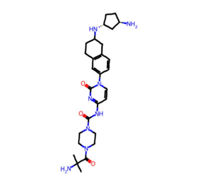 CC(C)(N)C(=O)N1CCN(C(=O)Nc2ccn(-c3ccc4c(c3)CCC(N[C@@H]3CC[C@@H](N)C3)C4)c(=O)n2)CC1